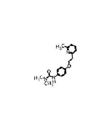 Cc1cccc(CCOc2ccc(NC(=O)N(C)C)cc2)n1